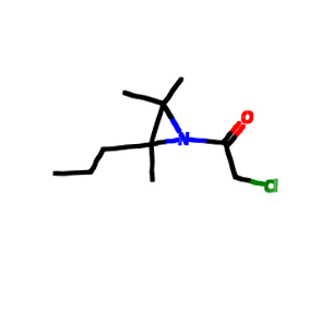 CCCC1(C)N(C(=O)CCl)C1(C)C